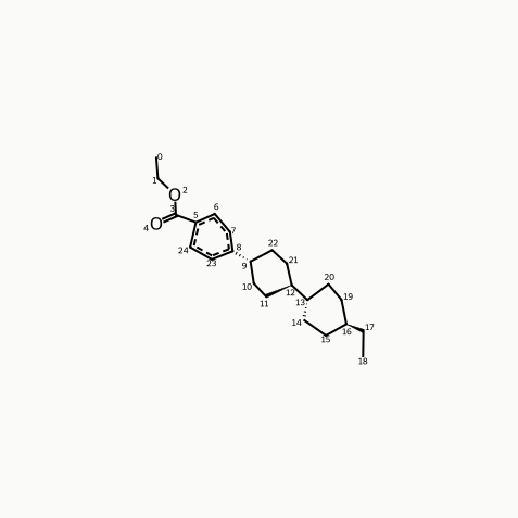 CCOC(=O)c1ccc([C@H]2CC[C@H]([C@H]3CC[C@H](CC)CC3)CC2)cc1